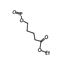 CCOC(=O)CCCCOP=O